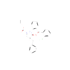 CCOC(=O)CCC(O)(Cc1ccccc1)C(=O)Nc1ccc(Cl)cc1C(=O)c1ccccc1Cl